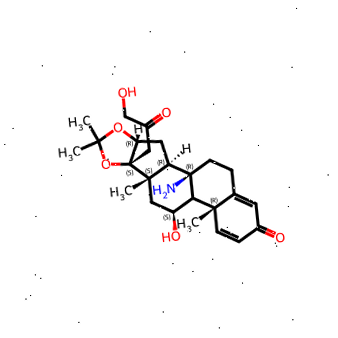 CC1(C)O[C@@H]2C[C@@H]3[C@](C)(C[C@H](O)C4[C@@]5(C)C=CC(=O)C=C5CC[C@]43N)[C@]2(CC(=O)CO)O1